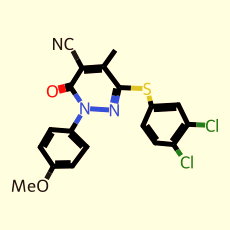 COc1ccc(-n2nc(Sc3ccc(Cl)c(Cl)c3)c(C)c(C#N)c2=O)cc1